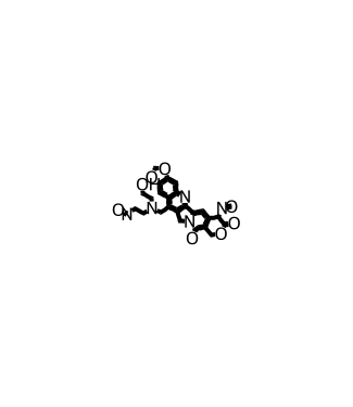 O=NCCN(CCO)Cc1c2c(nc3cc4c(cc13)OCO4)-c1cc3c(c(=O)n1C2)COC(=O)C3N=O